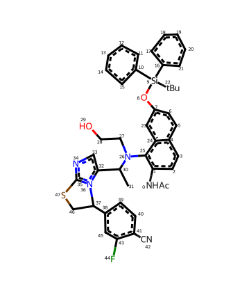 CC(=O)Nc1ccc2ccc(O[Si](c3ccccc3)(c3ccccc3)C(C)(C)C)cc2c1N(CCO)C(C)c1cnc2n1C(c1ccc(C#N)c(F)c1)CS2